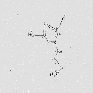 CCCNc1cc(O)cc(Cl)c1